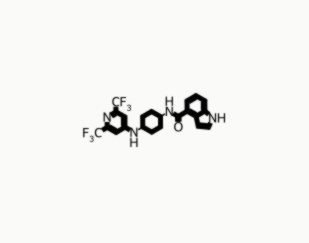 O=C(N[C@H]1CC[C@@H](Nc2cc(C(F)(F)F)nc(C(F)(F)F)c2)CC1)c1cccc2[nH]ccc12